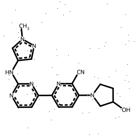 Cn1cc(Nc2nccc(-c3ccc(N4CCC(O)C4)c(C#N)n3)n2)cn1